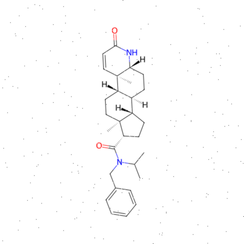 CC(C)N(Cc1ccccc1)C(=O)[C@H]1CC[C@H]2[C@@H]3CC[C@H]4NC(=O)C=C[C@]4(C)[C@H]3CC[C@]12C